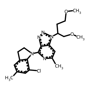 COCCC(COC)n1nnc2c(N3CCc4cc(C)cc(Cl)c43)nc(C)cc21